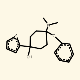 CN(C)C1(Cc2ccccc2)CCC(O)(c2cccs2)CC1